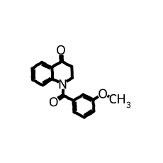 COc1cccc(C(=O)N2CCC(=O)c3ccccc32)c1